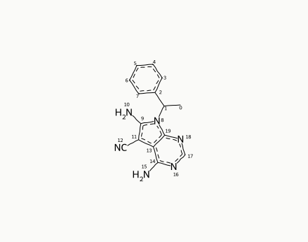 CC(c1ccccc1)n1c(N)c(C#N)c2c(N)ncnc21